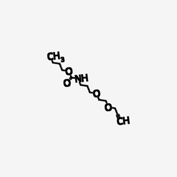 C#CCOCCOCCCNC(=O)OCCCC